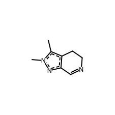 Cc1c2c(nn1C)C=NCC2